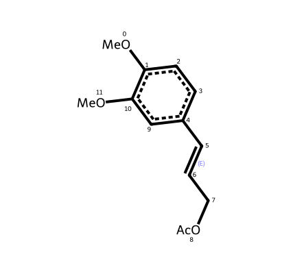 COc1ccc(/C=C/COC(C)=O)cc1OC